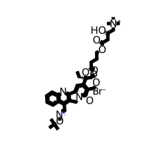 CC[C@@]1(OC(=O)CCCOC(=O)C[C@H](O)C[N+](C)(C)C)C(=O)OCc2c1cc1n(c2=O)Cc2c-1nc1ccccc1c2/C=N/OC(C)(C)C.[Br-]